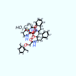 Cc1cccc(C)c1OCC(=O)NC(Cc1ccccc1)[C@H](CC(Cc1ccccc1)NC(=O)[C@H](C(C)C)N1CCCNC1=O)OC(=O)CSCC(=O)O